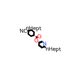 CCCCCCCc1ccc(OC(=O)[C@H]2CC[C@@](C#N)(CCCCCCC)CC2)cn1